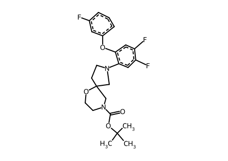 CC(C)(C)OC(=O)N1CCOC2(CCN(c3cc(F)c(F)cc3Oc3cccc(F)c3)C2)C1